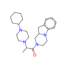 CC(C(=O)N1CCN2c3ccccc3CC2C1)N1CCN(C2CCCCC2)CC1